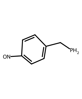 O=Nc1ccc(CP)cc1